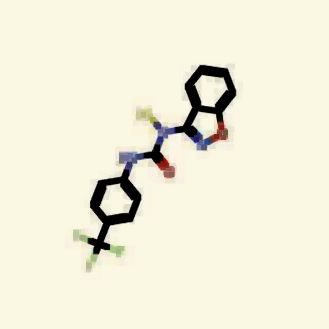 O=C(Nc1ccc(C(F)(F)F)cc1)N(S)c1noc2ccccc12